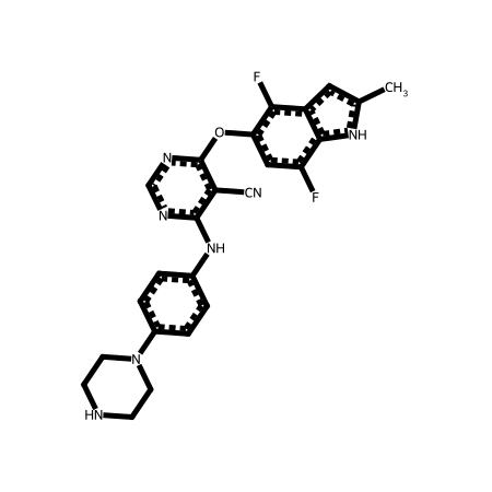 Cc1cc2c(F)c(Oc3ncnc(Nc4ccc(N5CCNCC5)cc4)c3C#N)cc(F)c2[nH]1